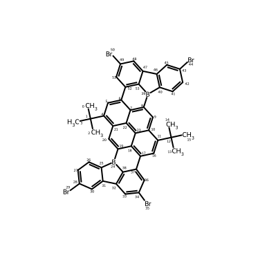 CC(C)(C)c1cc2c3c(cc4c(C(C)(C)C)cc5c6c(cc1c3c46)B1c3ccc(Br)cc3-c3cc(Br)cc-5c31)B1c3ccc(Br)cc3-c3cc(Br)cc-2c31